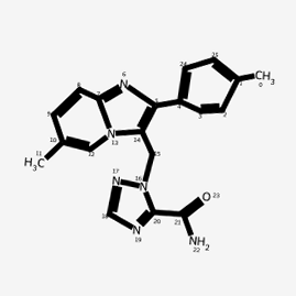 Cc1ccc(-c2nc3ccc(C)cn3c2Cn2ncnc2C(N)=O)cc1